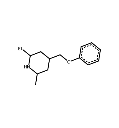 CCC1CC(COc2ccccc2)CC(C)N1